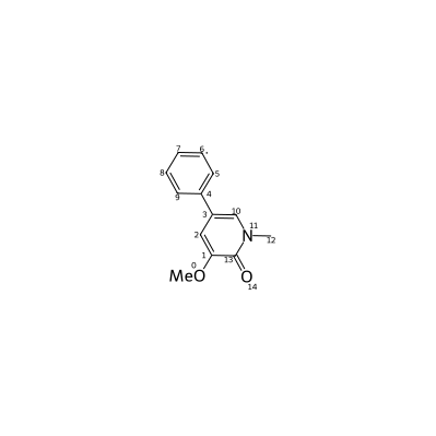 COc1cc(-c2c[c]ccc2)cn(C)c1=O